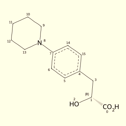 O=C(O)[C@H](O)Cc1ccc(N2CCCCC2)cc1